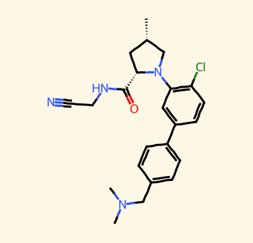 C[C@H]1C[C@@H](C(=O)NCC#N)N(c2cc(-c3ccc(CN(C)C)cc3)ccc2Cl)C1